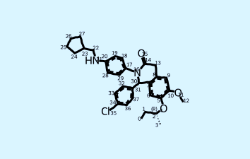 CC[C@@H](C)Oc1cc2c(cc1OC)CC(=O)N(c1ccc(NCC3CCCC3)cc1)C2c1ccc(Cl)cc1